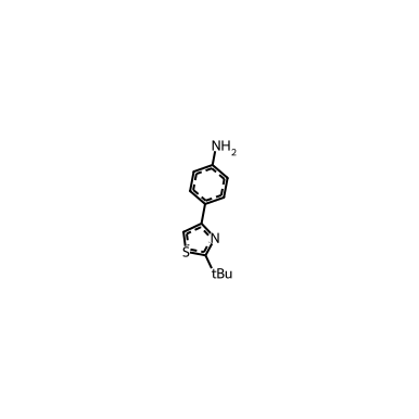 CC(C)(C)c1nc(-c2ccc(N)cc2)cs1